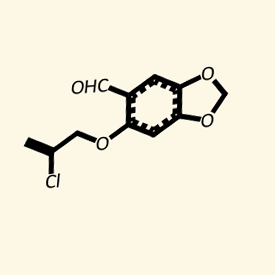 C=C(Cl)COc1cc2c(cc1C=O)OCO2